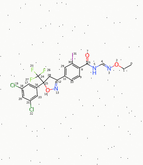 CCON=CNC(=O)c1ccc(C2=NOC(c3cc(Cl)cc(Cl)c3)(C(F)(F)F)C2)cc1I